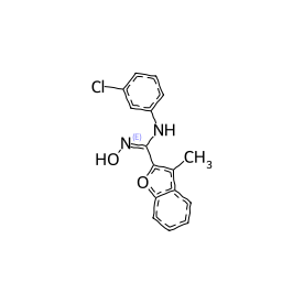 Cc1c(/C(=N\O)Nc2cccc(Cl)c2)oc2ccccc12